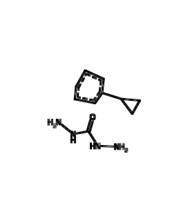 NNC(=O)NN.c1ccc(C2CC2)cc1